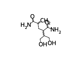 C=C(CC(C(N)=O)=C(CO)CO)C(N)=O